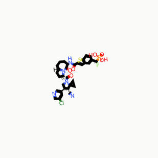 N#C[C@@H]1[C@@H](c2cncc(Cl)c2)CN(C(=O)[C@@H]2CC[C@@H]3CCC[C@H](NC(=O)c4cc5cc([C@H](F)P(=O)(O)O)ccc5s4)C(=O)N32)C12CC2